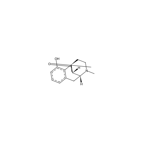 CN1CC[C@]23CC(=O)CC[C@H]2[C@H]1Cc1cccc(O)c13